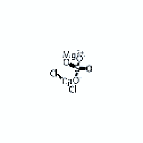 O=S(=O)([O-])[O-].[Cl][Ca][Cl].[Mg+2]